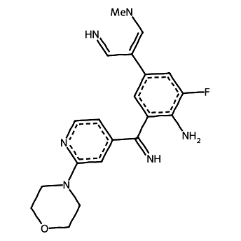 CN/C=C(\C=N)c1cc(F)c(N)c(C(=N)c2ccnc(N3CCOCC3)c2)c1